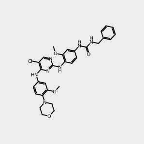 COc1cc(NC(=O)NCc2ccccc2)ccc1Nc1ncc(Cl)c(Nc2ccc(N3CCOCC3)c(OC)c2)n1